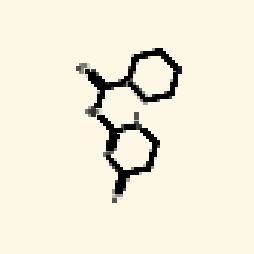 N=C(NC1=NC(=O)CCN1)N1CCCCC1